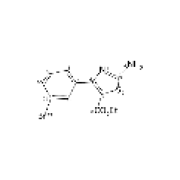 CCOC(=O)c1sc(N)nc1-c1cccc(Br)c1